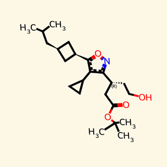 CC(C)C[C@H]1C[C@@H](c2onc([C@H](CCO)CC(=O)OC(C)(C)C)c2C2CC2)C1